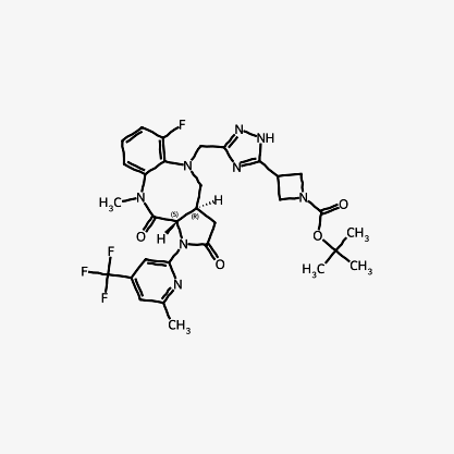 Cc1cc(C(F)(F)F)cc(N2C(=O)C[C@@H]3CN(Cc4n[nH]c(C5CN(C(=O)OC(C)(C)C)C5)n4)c4c(F)cccc4N(C)C(=O)[C@H]32)n1